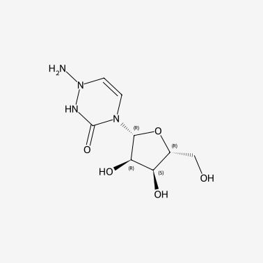 NN1C=CN([C@@H]2O[C@H](CO)[C@@H](O)[C@H]2O)C(=O)N1